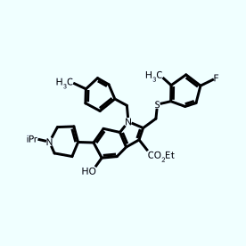 CCOC(=O)c1c(CSc2ccc(F)cc2C)n(Cc2ccc(C)cc2)c2cc(C3=CCN(C(C)C)CC3)c(O)cc12